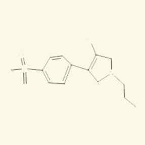 CCCN1CC(Br)=C(c2ccc(S(C)(=O)=O)cc2)C1